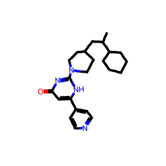 CC(CC1CCN(c2nc(=O)cc(-c3ccncc3)[nH]2)CC1)C1CCCCC1